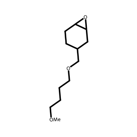 COCCCCOCC1CCC2OC2C1